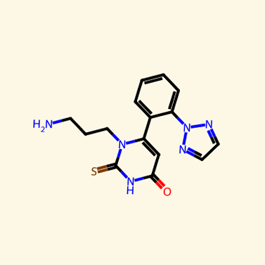 NCCCn1c(-c2ccccc2-n2nccn2)cc(=O)[nH]c1=S